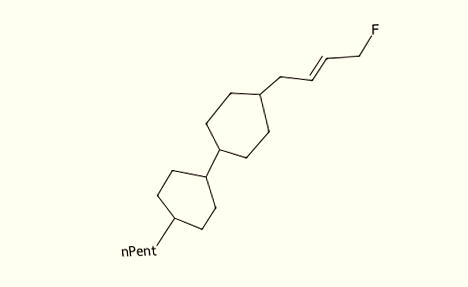 CCCCCC1CCC(C2CCC(C/C=C/CF)CC2)CC1